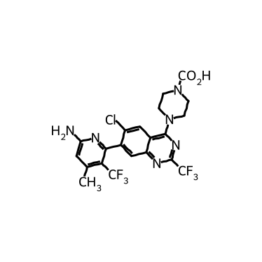 Cc1cc(N)nc(-c2cc3nc(C(F)(F)F)nc(N4CCN(C(=O)O)CC4)c3cc2Cl)c1C(F)(F)F